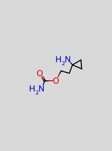 NC(=O)OCCC1(N)CC1